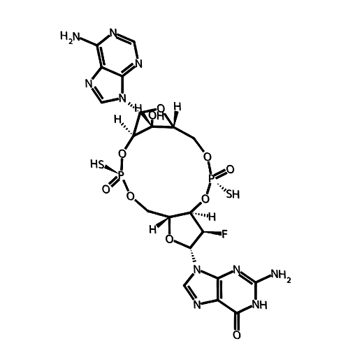 Nc1nc2c(ncn2[C@@H]2O[C@@H]3CO[P@@](=O)(S)O[C@@H]4[C@H](O)[C@@H](CO[P@](=O)(S)O[C@H]3[C@H]2F)O[C@H]4n2cnc3c(N)ncnc32)c(=O)[nH]1